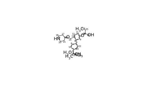 CC(C)(C)c1ccc(-c2ccccc2COC2CCNCC2)cc1.CCC(=O)O.Cl